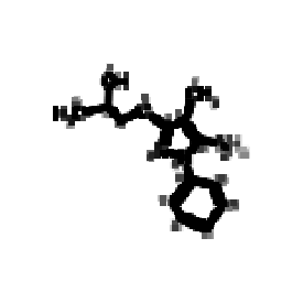 Cc1c(OCC(C)O)nn(-c2ccccc2)c1N